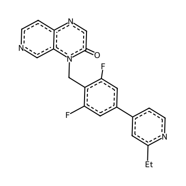 CCc1cc(-c2cc(F)c(Cn3c(=O)cnc4ccncc43)c(F)c2)ccn1